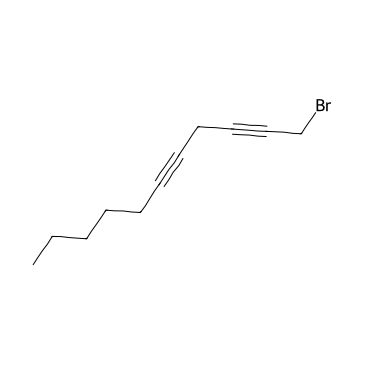 CCCCCC#CCC#CCBr